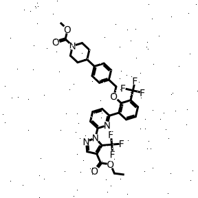 CCOC(=O)c1cnn(-c2cccc(-c3cccc(C(F)(F)F)c3OCc3ccc(C4CCN(C(=O)OC)CC4)cc3)n2)c1C(F)(F)F